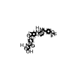 Cc1cc(Nc2nccn3c(-c4ccc(OC(F)F)cc4)cnc23)ccc1C(=O)N1CCN(C(=O)C(N)CC(=O)O)CC1